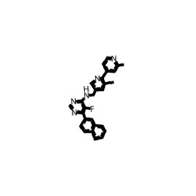 Cc1cc(-c2ncc(CNc3ncnc(-c4ccc5ccccc5c4)c3F)cc2C)ccn1